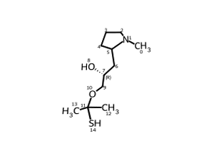 CN1CCCC1C[C@@H](O)COC(C)(C)S